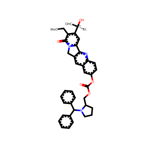 CC[C@@](O)(C=O)c1cc2n(c(=O)c1COC)Cc1cc3cc(OC(=O)OCC4CCCN4C(c4ccccc4)c4ccccc4)ccc3nc1-2